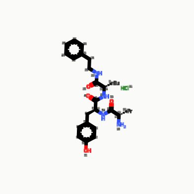 CCCC[C@H](NC(=O)[C@H](Cc1ccc(O)cc1)NC(=O)[C@@H](N)C(C)C)C(=O)NCCc1ccccc1.Cl